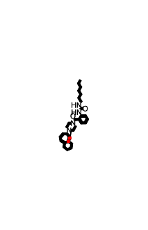 CCCCCCCNC(=O)Nc1ccccc1C(=O)N1CCN(C2C=CC=C3CCCCC34CC=CC=C24)CC1